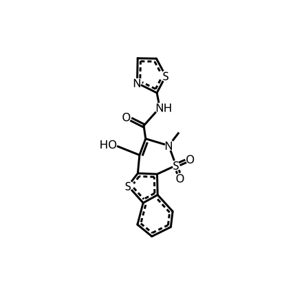 CN1C(C(=O)Nc2nccs2)=C(O)c2sc3ccccc3c2S1(=O)=O